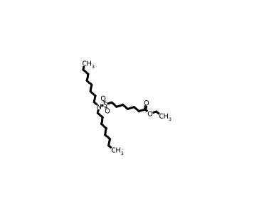 CCCCCCCCN(CCCCCCCC)S(=O)(=O)CCCCCCC(=O)OCC